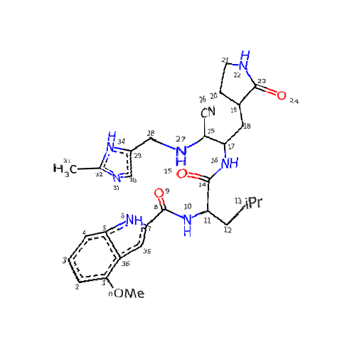 COc1cccc2[nH]c(C(=O)NC(CC(C)C)C(=O)NC(CC3CCNC3=O)C(C#N)NCc3cnc(C)[nH]3)cc12